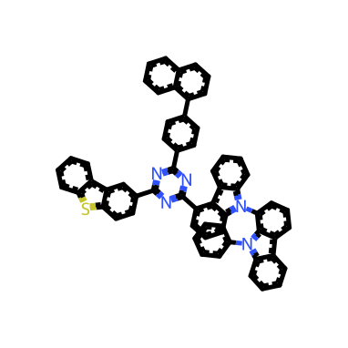 c1ccc(-n2c3ccccc3c3cccc(-n4c5ccccc5c5c(-c6nc(-c7ccc(-c8cccc9ccccc89)cc7)nc(-c7ccc8sc9ccccc9c8c7)n6)cccc54)c32)cc1